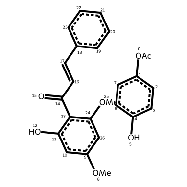 CC(=O)Oc1ccc(O)cc1.COc1cc(O)c(C(=O)C=Cc2ccccc2)c(OC)c1